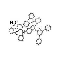 CC1C=CC(N(c2ccccc2)c2ccc3c(c2)c2c(n3-c3cc(-c4ccccc4)cc(-c4ccccc4)n3)-c3ccccc3C23c2ccccc2-c2ccccc23)=C2Oc3ccccc3C21